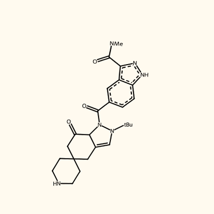 CNC(=O)c1n[nH]c2ccc(C(=O)N3C4C(=O)CC5(CCNCC5)CC4=CN3C(C)(C)C)cc12